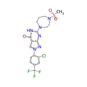 CS(=O)(=O)N1CCCN(c2nc3nn(-c4ccc(C(F)(F)F)cc4Cl)cc3c(=O)[nH]2)CC1